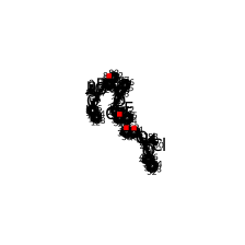 CCCC1CC1C(COc1ccc2ccccc2c1)COc1cc(-c2cc(OCC(COc3ccc4c(-c5cccc6cc(OCC(COc7ccc8ccccc8c7)C7CC7Cl)ccc56)cccc4c3)C3CC3F)cc3ccccc23)c2ccccc2c1